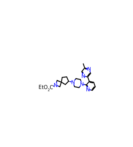 CCOC(=O)N1CC2(CC[C@@H](N3CCN(c4ncccc4-c4cnc(C)cn4)CC3)C2)C1